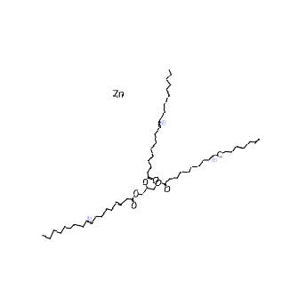 CCCCCCCC/C=C/CCCCCCCC(=O)OCC(COC(=O)CCCCCCC/C=C/CCCCCCCC)OC(=O)CCCCCCC/C=C/CCCCCCCC.[Zn]